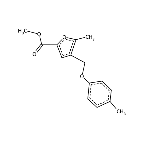 COC(=O)c1cc(COc2ccc(C)cc2)c(C)o1